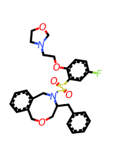 O=S(=O)(c1cc(F)ccc1OCCN1CCOC1)N1Cc2ccccc2COCC1Cc1ccccc1